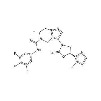 CC1Cn2ncc(N3C[C@@H](c4nccn4C)OC3=O)c2CN1C(=O)Nc1cc(F)c(F)c(F)c1